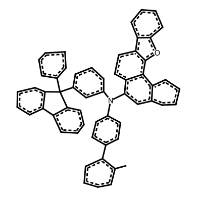 Cc1ccccc1-c1ccc(N(c2cccc(C3(c4ccccc4)c4ccccc4-c4ccccc43)c2)c2cc3ccccc3c3c2ccc2c4ccccc4oc23)cc1